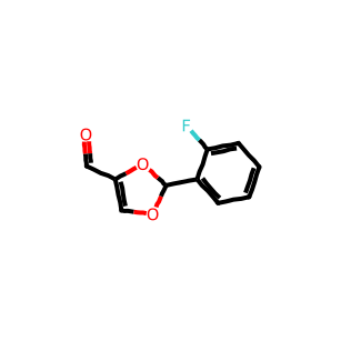 O=CC1=COC(c2ccccc2F)O1